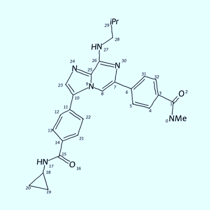 CNC(=O)c1ccc(-c2cn3c(-c4ccc(C(=O)NC5CC5)cc4)cnc3c(NCC(C)C)n2)cc1